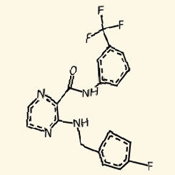 O=C(Nc1cccc(C(F)(F)F)c1)c1nccnc1NCc1ccc(F)cc1